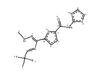 CN/N=C(\C=C\C(F)(F)F)c1ccc(C(=O)Nc2nccs2)s1